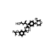 CC(CCO)n1c(=NC(=O)c2cccc(OC(F)F)c2)[nH]c2cc(N3CCOCC3=O)ccc21